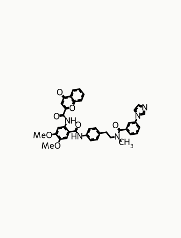 COc1cc(NC(=O)c2cc(=O)c3ccccc3o2)c(C(=O)Nc2ccc(CCN(C)C(=O)c3cccc(-n4ccnc4)c3)cc2)cc1OC